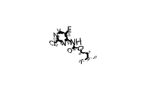 C[C@H](F)CCOC(=O)Nc1nc(Cl)ncc1F